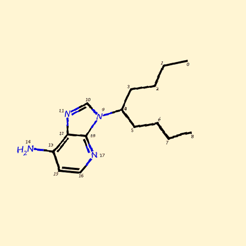 CCCCC(CCCC)n1cnc2c(N)ccnc21